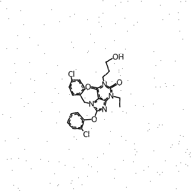 CCn1c(=O)n(CCCO)c(=O)c2c1nc(Oc1ccccc1Cl)n2Cc1ccc(Cl)cc1